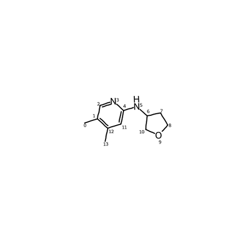 Cc1cnc(NC2CCOC2)cc1C